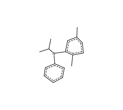 Cc1ccc(C)c(N(c2ccccc2)C(C)C)c1